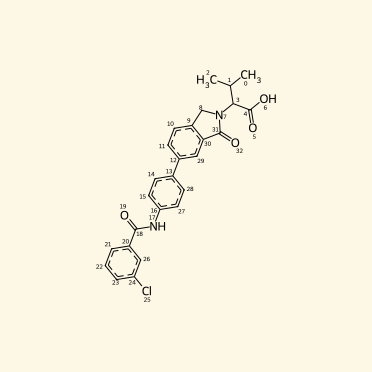 CC(C)C(C(=O)O)N1Cc2ccc(-c3ccc(NC(=O)c4cccc(Cl)c4)cc3)cc2C1=O